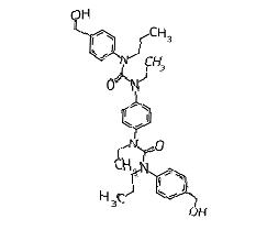 CCCN(C(=O)N(CC)c1ccc(N(CC)C(=O)N(CCC)c2ccc(CO)cc2)cc1)c1ccc(CO)cc1